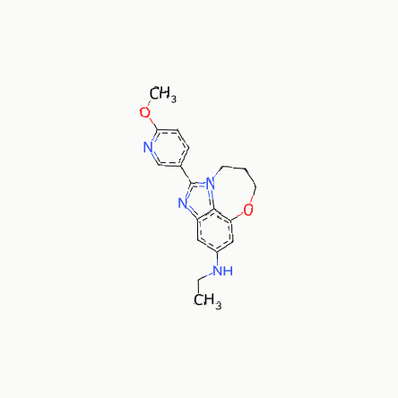 CCNc1cc2c3c(c1)nc(-c1ccc(OC)nc1)n3CCCO2